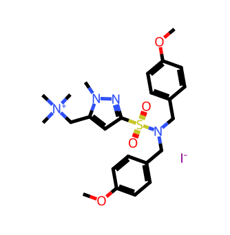 COc1ccc(CN(Cc2ccc(OC)cc2)S(=O)(=O)c2cc(C[N+](C)(C)C)n(C)n2)cc1.[I-]